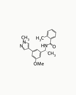 COc1cc(-c2cnn(C)c2)cc([C@@H](C)NC(=O)c2ccccc2C)c1